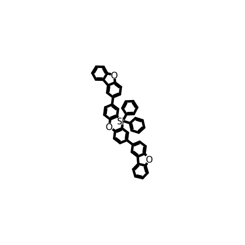 c1ccc([Si]2(c3ccccc3)c3cc(-c4ccc5oc6ccccc6c5c4)ccc3Oc3ccc(-c4ccc5oc6ccccc6c5c4)cc32)cc1